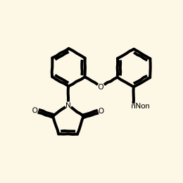 CCCCCCCCCc1ccccc1Oc1ccccc1N1C(=O)C=CC1=O